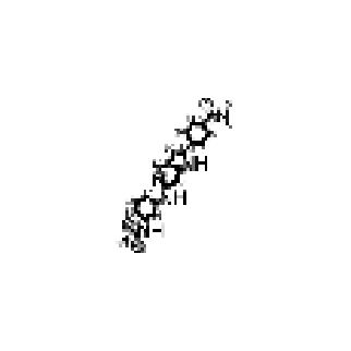 CN(C)C(=O)c1ccc(-c2cc3cnc(Nc4cccc(NS(C)(=O)=O)c4)cc3[nH]2)cc1